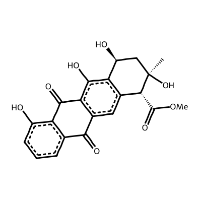 COC(=O)[C@@H]1c2cc3c(c(O)c2[C@@H](O)C[C@@]1(C)O)C(=O)c1c(O)cccc1C3=O